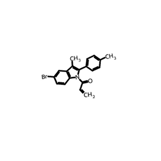 C=CC(=O)n1c(-c2ccc(C)cc2)c(C)c2cc(Br)ccc21